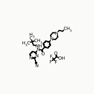 CCCN1CCN(c2ccc(C(=O)N(NCC(C)(C)C)c3ccnc(C#N)n3)cc2)CC1.O=C(O)C(F)(F)F